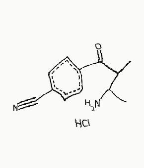 CC(N)C(C)C(=O)c1ccc(C#N)cc1.Cl